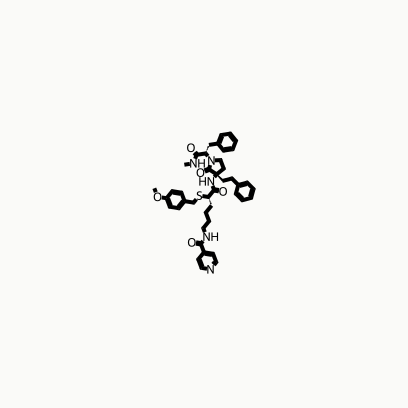 CNC(=O)[C@H](Cc1ccccc1)N1CC[C@](CCc2ccccc2)(NC(=O)[C@H](CCCCNC(=O)c2ccncc2)SCc2ccc(OC)cc2)C1=O